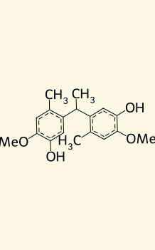 COc1cc(C)c(C(C)c2cc(O)c(OC)cc2C)cc1O